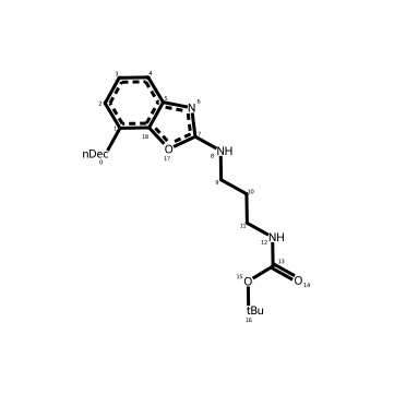 CCCCCCCCCCc1cccc2nc(NCCCNC(=O)OC(C)(C)C)oc12